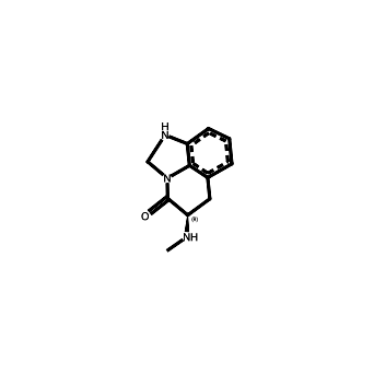 CN[C@@H]1Cc2cccc3c2N(CN3)C1=O